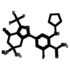 CC1(C)CC(=O)c2c(C(F)(F)F)nn(-c3cc(F)c(C(N)=O)c(NC4CCCC4)c3)c2C1